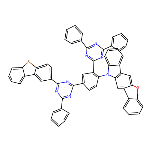 c1ccc(-c2nc(-c3ccc(-n4c5ccccc5c5cc6oc7ccccc7c6cc54)c(-c4nc(-c5ccccc5)nc(-c5ccccc5)n4)c3)nc(-c3ccc4sc5ccccc5c4c3)n2)cc1